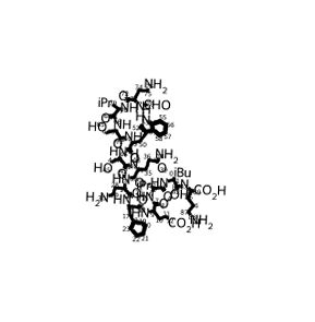 CCC(C)C(NC(=O)C(NC(=O)C(CCC(=O)O)NC(=O)C(Cc1ccccc1)NC(=O)C(CCN)NC(=O)C(CCC(N)=O)NC(=O)C(CO)NC(=O)C(Cc1c[nH]c2ccccc12)NC(=O)C(CO)NC(=O)C(NC(=O)C(CCN)NC=O)C(C)C)C(C)C)C(=O)NC(CCCN)C(=O)O